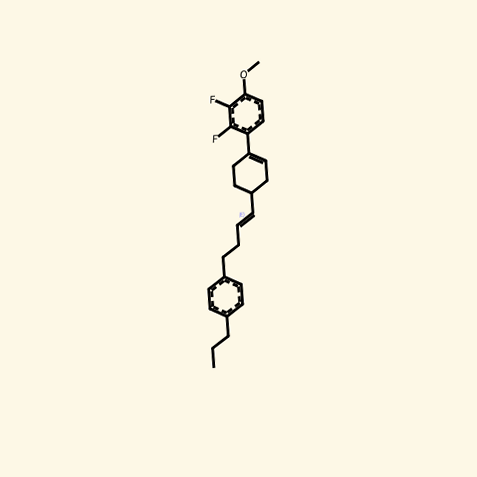 CCCc1ccc(CC/C=C/C2CC=C(c3ccc(OC)c(F)c3F)CC2)cc1